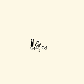 [Cd].[GaH3].[O]=[GeH2]